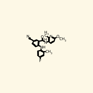 COc1ccc(NC(=O)c2cc(C#N)ccc2Nc2ccc(F)cc2C)c(C)n1